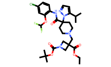 CCOC(=O)C1(CN2CCC(C(=O)Nc3ccc(Cl)cc3OC(F)F)(n3nccc3C(C)C)CC2)CN(C(=O)OC(C)(C)C)C1